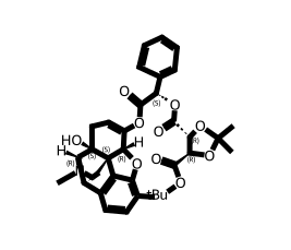 Cc1ccc2c3c1O[C@H]1C(OC(=O)[C@@H](OC(=O)[C@@H]4OC(C)(C)O[C@H]4C(=O)OC(C)(C)C)c4ccccc4)=CC[C@@]4(O)[C@@H](C2)N(C)CC[C@]314